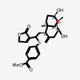 C=C1CC[C@]23N(O)C[C@]2(C)[C@H](O)CC[C@@]3(C)[C@@H]1CC(Sc1ccc(C(=O)OC)cc1)C1=CCOC1=O